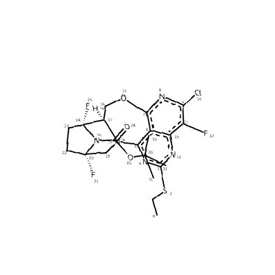 CCSc1nc2c3c(nc(Cl)c(F)c3n1)OC[C@H]1N2C[C@@]2(F)CC[C@]1(F)N2C(=O)OC(C)(C)C